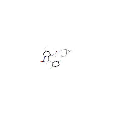 O=C1NC(c2cc(F)ccc2Cl)c2c(NC(=O)N3CCC4C(C3)C4C(F)(F)F)cc(Br)cc21